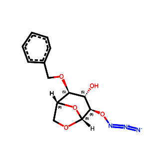 [N-]=[N+]=NO[C@H]1[C@@H]2OC[C@@H](O2)[C@@H](OCc2ccccc2)[C@@H]1O